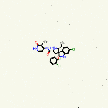 CCCc1c(NC(=O)[C@@H]2N[C@@H](CC(C)(C)C)C3(C(=O)Nc4cc(Cl)ccc43)[C@@H]2c2cccc(Cl)c2F)cc[nH]c1=O